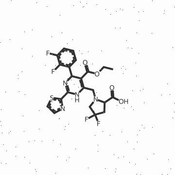 CCOC(=O)C1=C(CN2CC(F)(F)CC2C(=O)O)NC(c2nccs2)=NC1c1cccc(F)c1F